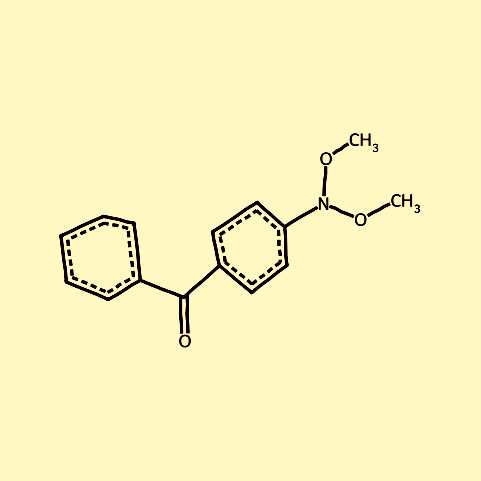 CON(OC)c1ccc(C(=O)c2ccccc2)cc1